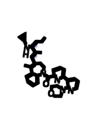 CC/C=C(NC1CC1)\C(C)=C\C1=C(C)c2ccccc2N(C(=O)c2cccc(-c3cccnc3N3CCOCC3)n2)CC1